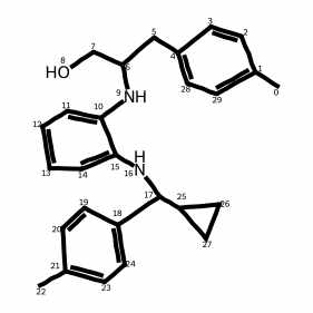 Cc1ccc(CC(CO)Nc2ccccc2NC(c2ccc(C)cc2)C2CC2)cc1